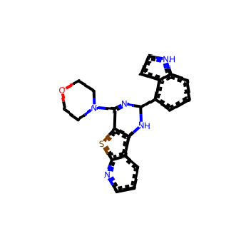 c1cc(C2N=C(N3CCOCC3)c3sc4ncccc4c3N2)c2cc[nH]c2c1